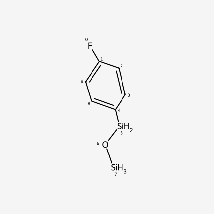 Fc1ccc([SiH2]O[SiH3])cc1